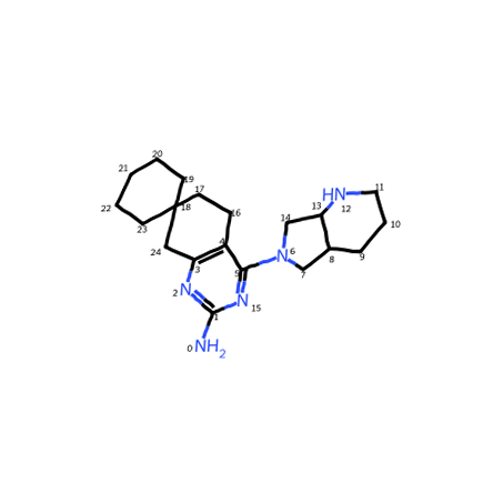 Nc1nc2c(c(N3CC4CCCNC4C3)n1)CCC1(CCCCC1)C2